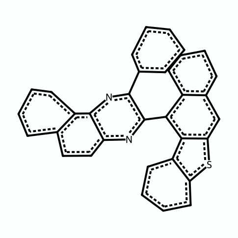 c1ccc(-c2nc3c(ccc4ccccc43)nc2-c2c3ccccc3cc3sc4ccccc4c23)cc1